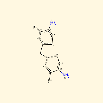 CCC1=CC(Cc2ccc(N)c(CC)c2)CC=C1N